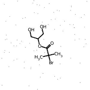 CC(C)(Br)C(=O)OC(CO)CO